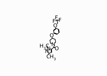 Cc1cc(C(=O)N2CCC(Oc3cccc(OCC(F)(F)F)c3)CC2)n(C)n1